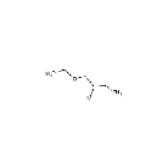 CCOCC(Cl)CC